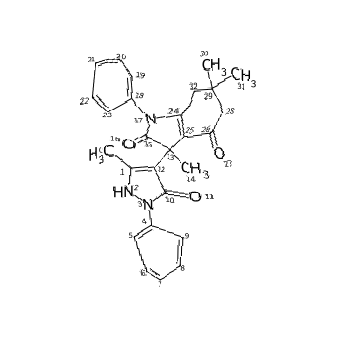 Cc1[nH]n(-c2ccccc2)c(=O)c1C1(C)C(=O)N(c2ccccc2)C2=C1C(=O)CC(C)(C)C2